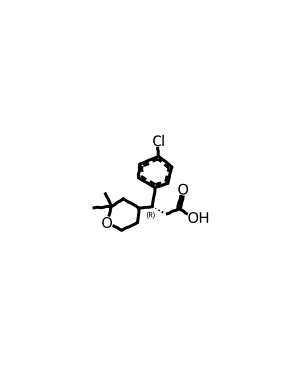 CC1(C)CC([C@@H](CC(=O)O)c2ccc(Cl)cc2)CCO1